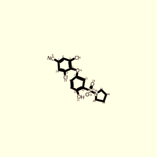 N#Cc1cc(Cl)c(Oc2ccc(O)c(S(=O)(=O)N3CCCC3)c2)c(Cl)c1